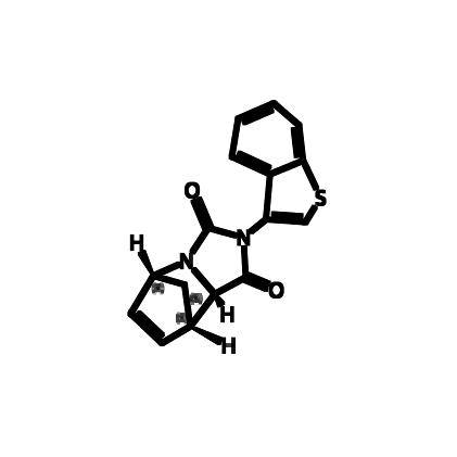 O=C1[C@@H]2[C@@H]3C=C[C@@H](C3)N2C(=O)N1c1csc2ccccc12